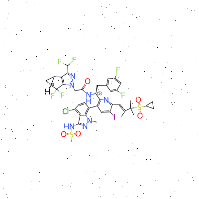 CC(=Cc1nc([C@H](Cc2cc(F)cc(F)c2)NC(=O)Cn2nc(C(F)F)c3c2C(F)(F)[C@@H]2CC32)c(-c2ccc(Cl)c3c(NS(C)(=O)=O)nn(C)c23)cc1I)C(C)(C)S(=O)(=O)C1CC1